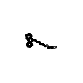 C#CCOCCCCCCC1c2ccccc2-c2ccccc21